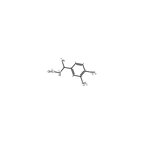 CC(C)C(NC=O)c1ccc(N)c([N+](=O)[O-])c1